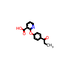 CCC(=O)c1ccc(Oc2ncccc2C(=O)O)cc1